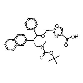 CN(C[C@H](c1ccc2ccccc2c1)[C@H](OCc1nc(C(=O)O)co1)c1ccccc1)C(=O)OC(C)(C)C